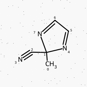 CC1(C#N)N=CC=N1